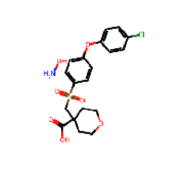 NO.O=C(O)C1(CS(=O)(=O)c2ccc(Oc3ccc(Cl)cc3)cc2)CCOCC1